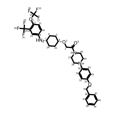 O=C(CO[C@H]1CC[C@@H](Nc2ccc(OC(F)(F)F)c(C(F)(F)F)c2)CC1)N1CCN(c2ccc(OCc3ccccc3)cc2)CC1